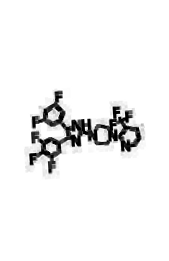 Fc1cc(F)cc(-c2[nH]c(N3CCN(c4ncccc4C(F)(F)F)CC3)nc2-c2cc(F)c(F)c(F)c2)c1